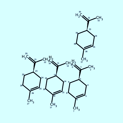 C=C(C)[C@H]1CC=C(C)CC1.C=C(C)[C@H]1CC=C(C)CC1.C=C(C)[C@H]1CC=C(C)CC1.C=C(C)[C@H]1CC=C(C)CC1